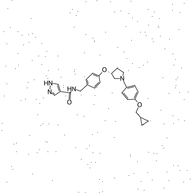 O=C(NCc1ccc(O[C@@H]2CCN(c3ccc(OCC4CC4)cc3)C2)cc1)c1cn[nH]c1